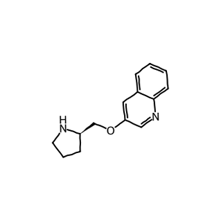 c1ccc2ncc(OC[C@H]3CCCN3)cc2c1